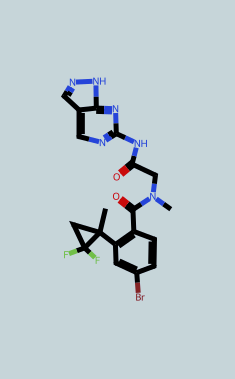 CN(CC(=O)Nc1ncc2cn[nH]c2n1)C(=O)c1ccc(Br)cc1C1(C)CC1(F)F